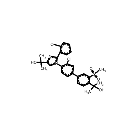 CC(C)(O)c1cn(-c2ccc(-c3ccc(C(C)(C)O)c(S(C)(=O)=O)c3)cc2Cl)c(-c2ccccc2Cl)n1